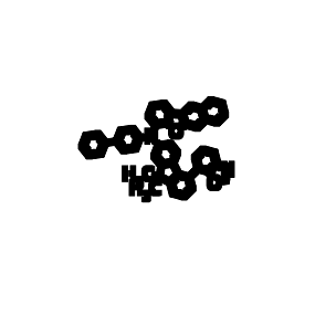 CC1(C)c2cc(N(c3ccc(-c4ccccc4)cc3)c3cccc4c3oc3cc5ccccc5cc34)ccc2-c2c(-c3cccc4ncoc34)cccc21